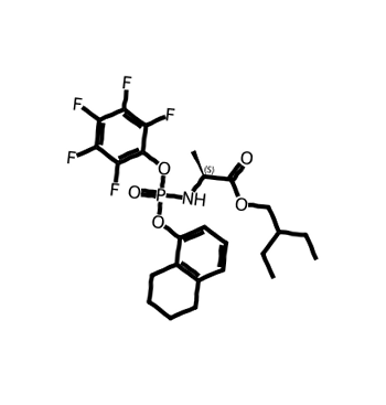 CCC(CC)COC(=O)[C@H](C)NP(=O)(Oc1cccc2c1CCCC2)Oc1c(F)c(F)c(F)c(F)c1F